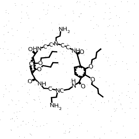 CCCCOc1c2ccc(c1OCCCC)C(=O)NCCN(CCN)CCNC(=O)c1ccc(c(OCCCC)c1OCCCC)C(=O)NCCN(CCN)CCNC2=O